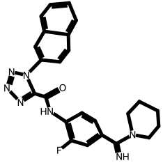 N=C(c1ccc(NC(=O)c2nnnn2-c2ccc3ccccc3c2)c(F)c1)N1CCCCC1